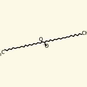 CCCCCCCCCCCCCCCCCCCC(=O)C([C]=O)CCCCCCCCCCCCCCCCCCC